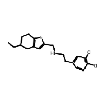 CCC1CCc2sc(CNCCc3ccc(Cl)c(Cl)c3)cc2C1